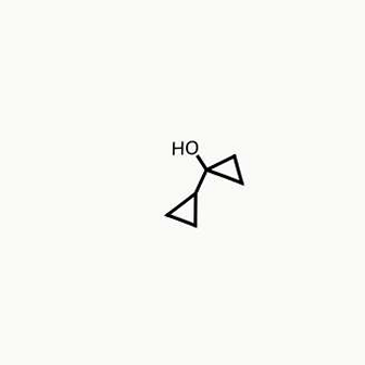 OC1(C2CC2)CC1